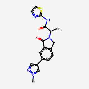 CCn1cc(-c2ccc3c(c2)C(=O)N([C@H](C)C(=O)Nc2nccs2)C3)cn1